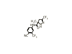 C[C@]1(C(=O)Nc2ccc(C#N)c(C(F)(F)F)c2)CC(C(F)(F)F)=NN1